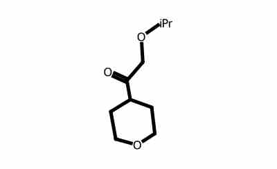 CC(C)OCC(=O)C1CCOCC1